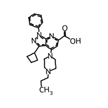 CCCN1CCN(c2cc(C(=O)O)nc3c2c(C2CCC2)nn3-c2ccccc2)CC1